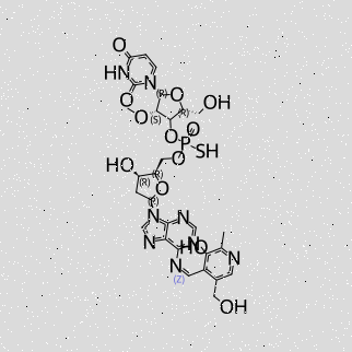 CO[C@H]1C(OP(=O)(S)OC[C@H]2O[C@@H](n3cnc4c(/N=C\c5c(CO)cnc(C)c5O)ncnc43)C[C@H]2O)[C@@H](CO)O[C@H]1n1ccc(=O)[nH]c1=O